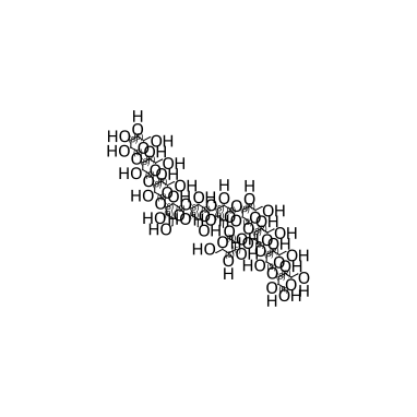 OCC1O[C@@H](OCC2O[C@@H](O[C@@H]3C(O)[C@H](O[C@@H]4C(O)[C@H](O[C@@H]5C(O)[C@H](O[C@@H]6C(O)[C@H](O)OC(CO)[C@H]6O)OC(CO)[C@H]5O)OC(CO)[C@H]4O)OC(CO)[C@H]3O)C(O)[C@@H](O[C@@H]3OC(CO)[C@@H](O)[C@H](O[C@@H]4OC(CO)[C@@H](O)[C@H](O[C@@H]5OC(CO)[C@@H](O)[C@H](O[C@@H]6OC(CO)[C@@H](O)[C@H](O[C@@H]7OC(CO)[C@@H](O)[C@H](O)C7O)C6O)C5O)C4O)C3O)[C@@H]2O)C(O)[C@@H](O)[C@@H]1O